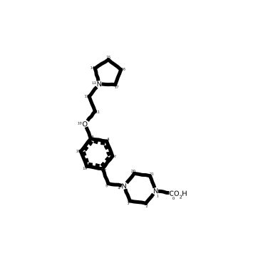 O=C(O)N1CCN(Cc2ccc(OCCN3CCCC3)cc2)CC1